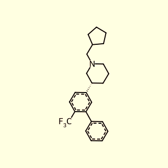 FC(F)(F)c1ccc([C@H]2CCCN(CC3CCCC3)C2)cc1-c1ccccc1